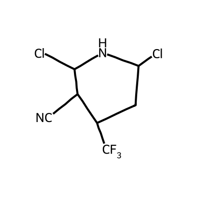 N#CC1C(Cl)NC(Cl)CC1C(F)(F)F